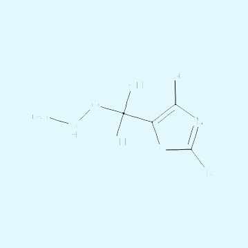 CC(C)(C)[SiH2]OC(C)(C)c1sc(Br)nc1Br